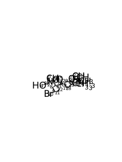 CN(CCO)C(=O)c1cc(Br)ccc1C(=O)c1cccc(O[Si](C)(C)C(C)(C)C)c1